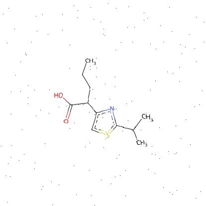 CCCC(C(=O)O)c1csc(C(C)C)n1